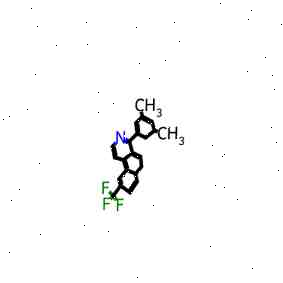 CC1=CC(C)CC(c2nccc3c2=CCC2C=CC(C(F)(F)F)=CC=32)=C1